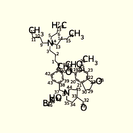 CCCC[N+](CCCC)(CCCC)CCCC.COc1cc2c(cc1OC)C(=O)CC2.O=CC1CCN(Cc2ccccc2)CC1.[Br-].[K+].[OH-]